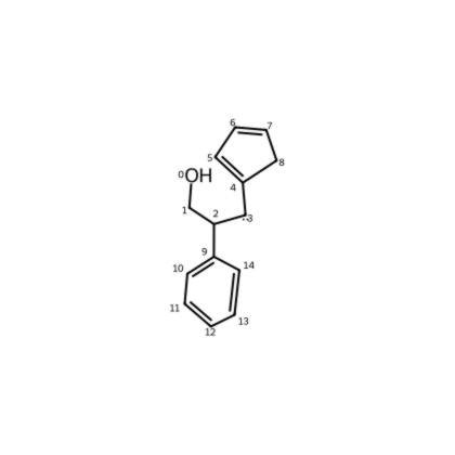 OCC([C]C1=CC=CC1)c1ccccc1